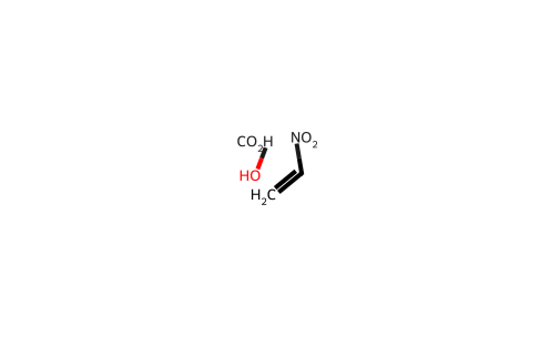 C=C[N+](=O)[O-].O=C(O)O